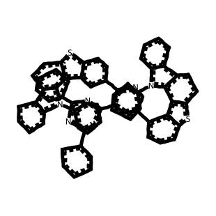 c1ccc(-c2nc(-c3ccccc3)nc(-c3cc(-c4cccc5sc6ccc7c8ccccc8n(-c8ccccc8)c7c6c45)cnc3-c3ccc4sc5ccc6c7ccccc7n(-c7ccccc7)c6c5c4c3)n2)cc1